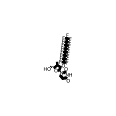 CC1[C@@H](CO)O[C@@H](n2ccc(=O)[nH]c2=O)[C@H]1OC(F)(F)C(F)(F)C(F)(F)C(F)(F)C(F)(F)C(F)(F)C(F)(F)C(F)(F)F